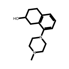 CN1CCN(c2cccc3c2CC(O)CC3)CC1